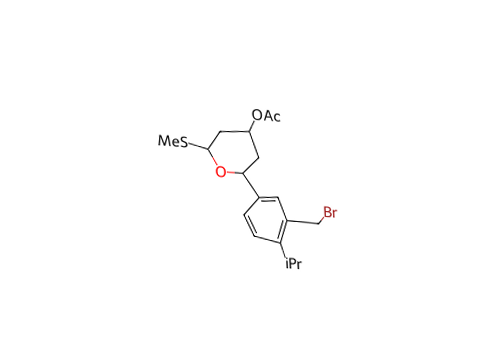 CSC1CC(OC(C)=O)CC(c2ccc(C(C)C)c(CBr)c2)O1